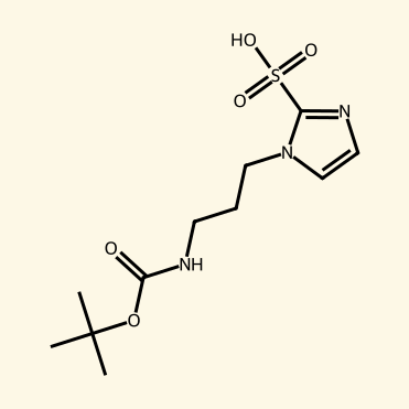 CC(C)(C)OC(=O)NCCCn1ccnc1S(=O)(=O)O